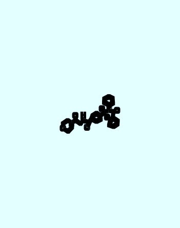 O=C(NCC(=O)N1CCOCC1)c1ccc(S(=O)(=O)N(C(=O)c2ccccc2)c2ccccc2)cc1